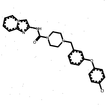 O=C(Nc1cn2ccccc2n1)N1CCN(Cc2cccc(Oc3ccc(Cl)cc3)c2)CC1